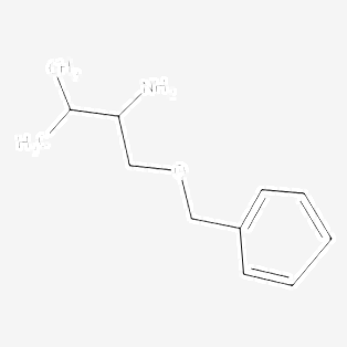 CC(C)C(N)COCc1ccccc1